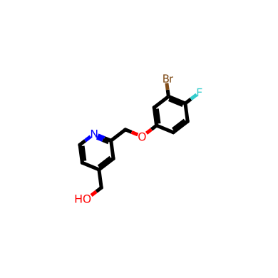 OCc1ccnc(COc2ccc(F)c(Br)c2)c1